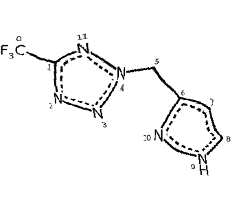 FC(F)(F)c1nnn(Cc2cc[nH]n2)n1